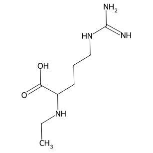 CCNC(CCCNC(=N)N)C(=O)O